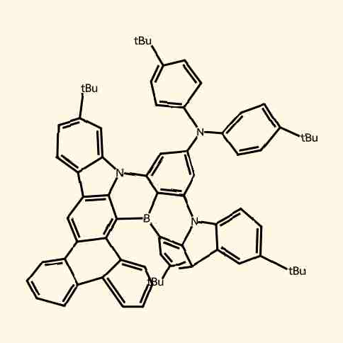 CC(C)(C)c1ccc(N(c2ccc(C(C)(C)C)cc2)c2cc3c4c(c2)-n2c5cc(C(C)(C)C)ccc5c5cc6c7ccccc7c7ccccc7c6c(c52)B4c2cc(C(C)(C)C)cc4c5cc(C(C)(C)C)ccc5n-3c24)cc1